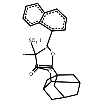 O=C(OCc1cccc2ccccc12)C12CC3CC(C1)C(OC(=O)C(F)(F)S(=O)(=O)O)C(C3)C2